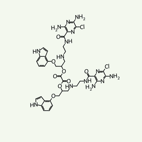 Nc1nc(N)c(C(=O)NCCNCC(COc2cccc3[nH]ccc23)OC(=O)C(=O)OC(CNCCNC(=O)c2nc(Cl)c(N)nc2N)COc2cccc3[nH]ccc23)nc1Cl